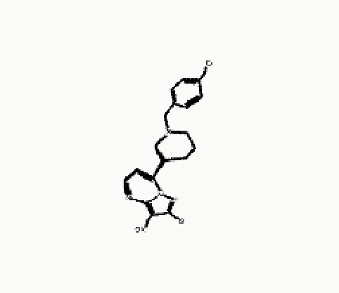 O=Cc1c(Br)nn2c(C3CCCN(Cc4ccc(Cl)cc4)C3)ccnc12